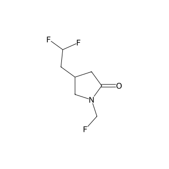 O=C1CC(CC(F)F)CN1CF